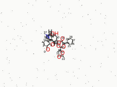 COc1ccc2c3c1O[C@H]1C(OC(=O)[C@@H](OC(=O)[C@H](C)OC(C)=O)c4ccccc4)=CC[C@@]4(O)[C@@H](C2)N(C)CC[C@]314